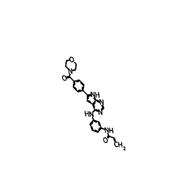 C=CC(=O)Nc1cccc(Nc2ncnc3[nH]c(-c4ccc(C(=O)N5CCOCC5)cc4)cc23)c1